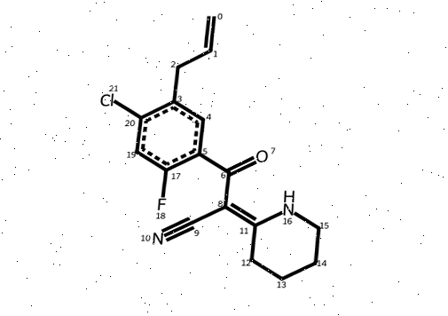 C=CCc1cc(C(=O)C(C#N)=C2CCCCN2)c(F)cc1Cl